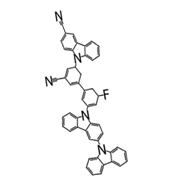 N#CC1=CC(n2c3ccccc3c3cc(C#N)ccc32)CC(C2=CC(n3c4ccccc4c4cc(-n5c6ccccc6c6ccccc65)ccc43)=CC(F)C2)=C1